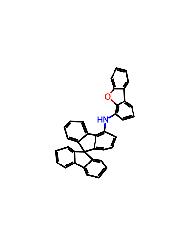 c1ccc2c(c1)-c1ccccc1C21c2ccccc2-c2c(Nc3cccc4c3oc3ccccc34)cccc21